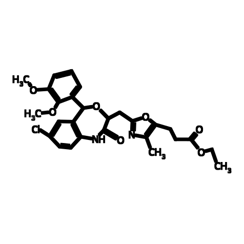 CCOC(=O)CCc1oc(CC2OC(c3cccc(OC)c3OC)c3cc(Cl)ccc3NC2=O)nc1C